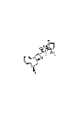 C#CCCC1=NN(C(=O)N[C@H]2C[C@H]3CC[C@]2(C)C3(C)C)CC1c1ccccc1F